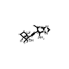 Cc1nc2ncnn2c(N)c1C#C[C@@]1(O)C(C)(C)[C@@H]2CC[C@@]1(C)C2